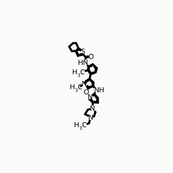 CCN1CCN(c2ccc(Nc3cc(-c4cccc(NC(=O)c5cc6c(s5)CCCC6)c4C)cn(C)c3=O)nc2)CC1